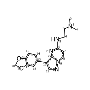 CN(C)CCNc1ccn2ncc(-c3ccc4c(c3)OCO4)c2n1